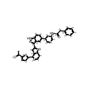 CC(=O)c1ccc(-c2nccc3[nH]c(-c4n[nH]c5ccc(-c6cncc(NC(=O)Cc7ccccc7)c6)cc45)cc23)s1